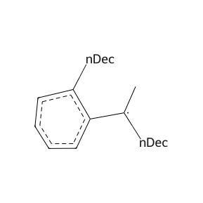 CCCCCCCCCC[C](C)c1ccccc1CCCCCCCCCC